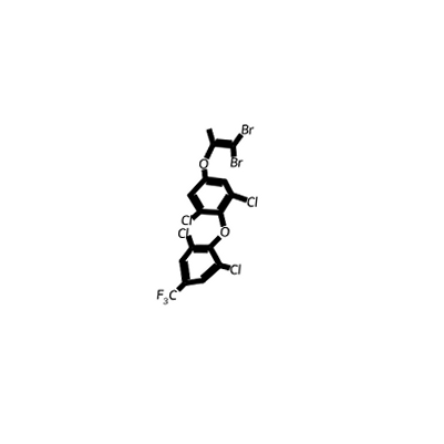 CC(Oc1cc(Cl)c(Oc2c(Cl)cc(C(F)(F)F)cc2Cl)c(Cl)c1)=C(Br)Br